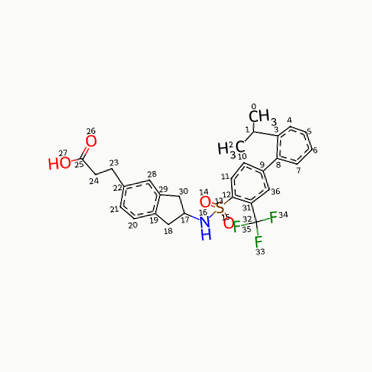 CC(C)c1ccccc1-c1ccc(S(=O)(=O)NC2Cc3ccc(CCC(=O)O)cc3C2)c(C(F)(F)F)c1